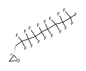 FC(F)(F)C(F)(F)C(F)(F)C(F)(F)C(F)(F)C(F)(F)C(F)(F)C(F)(F)C[C@H]1CO1